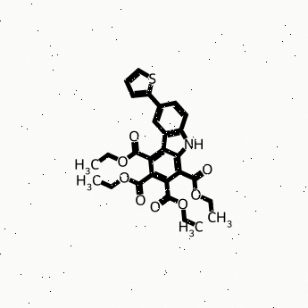 CCOC(=O)c1c(C(=O)OCC)c(C(=O)OCC)c2c([nH]c3ccc(-c4cccs4)cc32)c1C(=O)OCC